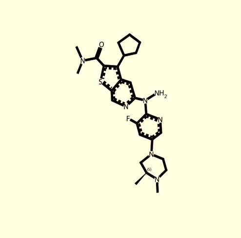 C[C@H]1CN(c2cnc(N(N)c3cc4c(C5CCCC5)c(C(=O)N(C)C)sc4cn3)c(F)c2)CCN1C